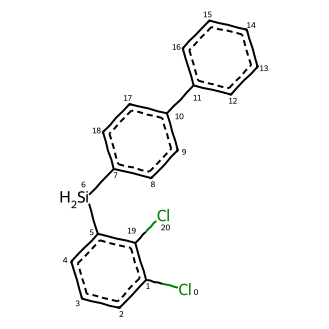 Clc1cccc([SiH2]c2ccc(-c3ccccc3)cc2)c1Cl